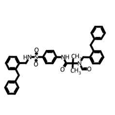 CC(C)(C(=O)Nc1ccc(S(=O)(=O)NCc2ccccc2Cc2ccccc2)cc1)N(C=O)Cc1ccccc1Cc1ccccc1